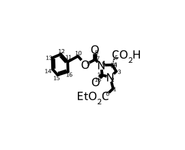 CCOC(=O)CN1C[C@@H](C(=O)O)N(C(=O)OCc2ccccc2)C1=O